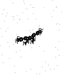 N#C/N=c1/c2cc(-c3ccc(C(F)(F)F)cc3)ccc2c2cc3c(cc12)/c(=N/C#N)c1cc(-c2ccc(C(F)(F)F)cc2)ccc13